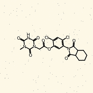 Cn1c(=O)[nH]c(=O)n(CC(=O)Oc2cc(N3C(=O)C4CCCCC4C3=O)c(Cl)cc2Cl)c1=O